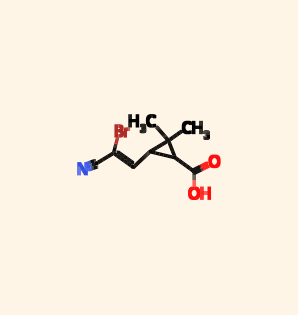 CC1(C)C(/C=C(\Br)C#N)C1C(=O)O